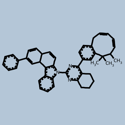 CC1/C=C\C=C/Cc2ccc(-c3nc(-n4c5c(c6ccccc64)C4C=C(c6ccccc6)C=CC4C=C5)nc4c3CCCC4)cc2C1(C)C